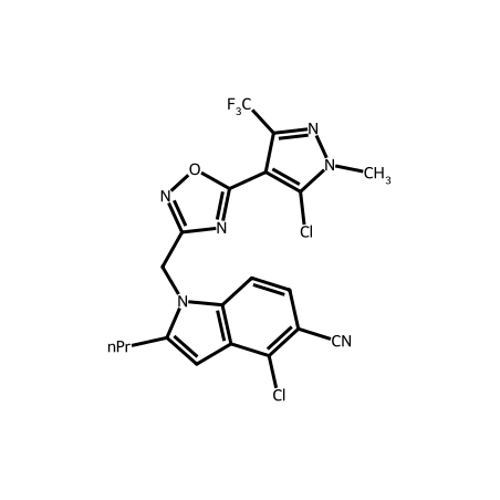 CCCc1cc2c(Cl)c(C#N)ccc2n1Cc1noc(-c2c(C(F)(F)F)nn(C)c2Cl)n1